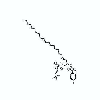 CCCCCCCCCCCCCCCCCCOCC(COP(=O)([O-])OCC[N+](C)(C)C)OS(=O)(=O)c1ccc(C)cc1